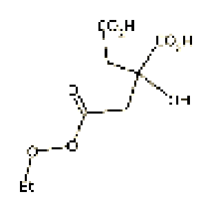 CCOOC(=O)CC(O)(CC(=O)O)C(=O)O